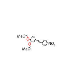 COCOc1ccc(/C=C/c2ccc([N+](=O)[O-])cc2)cc1OCOC